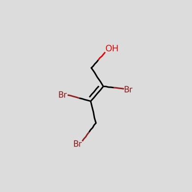 OCC(Br)=C(Br)CBr